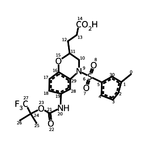 Cc1cccc(S(=O)(=O)N2CC(CCC(=O)O)Oc3ccc(NC(=O)OC(C)(C)C(F)(F)F)cc32)c1